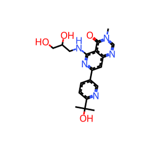 Cn1cnc2cc(-c3ccc(C(C)(C)O)nc3)nc(NCC(O)CO)c2c1=O